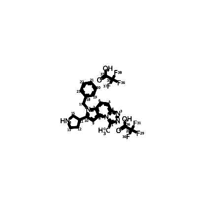 Cc1nnc2ccc3c(cc(C4CCNC4)n3Cc3ccccc3)n12.O=C(O)C(F)(F)F.O=C(O)C(F)(F)F